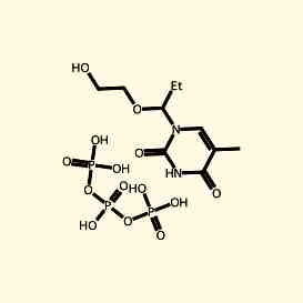 CCC(OCCO)n1cc(C)c(=O)[nH]c1=O.O=P(O)(O)OP(=O)(O)OP(=O)(O)O